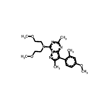 COCCN(CCOC)c1nc(C)nc2c(-c3ccc(OC)cc3C)c(C)nn12